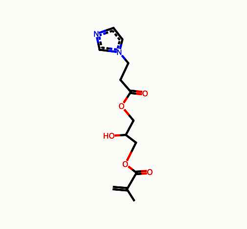 C=C(C)C(=O)OCC(O)COC(=O)CCn1ccnc1